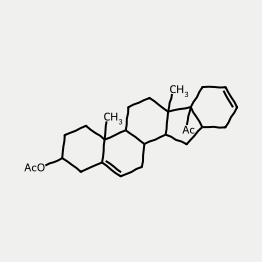 CC(=O)OC1CCC2(C)C(=CCC3C2CCC2(C)C3CC3CC=CCC32C(C)=O)C1